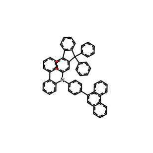 c1ccc(-c2ccccc2N(c2ccc(-c3cc4ccccc4c4ccccc34)cc2)c2ccc3c(c2)C(c2ccccc2)(c2ccccc2)c2ccccc2-3)cc1